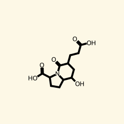 O=C(O)CCC1CC(O)C2CCC(C(=O)O)N2C1=O